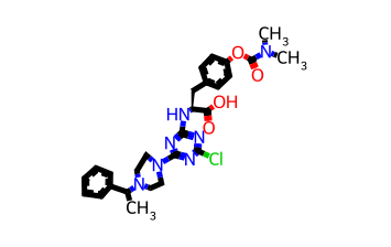 CC(c1ccccc1)N1CCN(c2nc(Cl)nc(N[C@@H](Cc3ccc(OC(=O)N(C)C)cc3)C(=O)O)n2)CC1